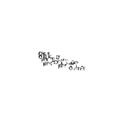 CCCC1COC(c2ccc(C(=O)Oc3cc(F)c(C(F)(F)OC(F)(F)F)c(F)c3)c(F)c2)OC1